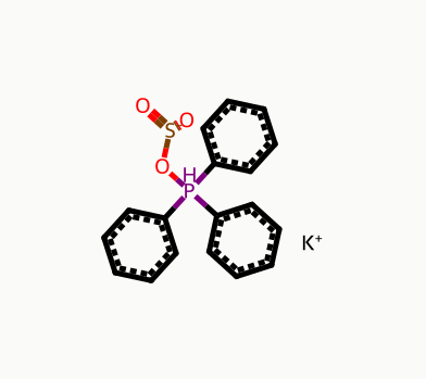 O=[S-](=O)O[PH](c1ccccc1)(c1ccccc1)c1ccccc1.[K+]